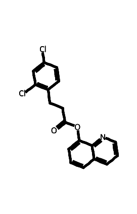 O=C(CCc1ccc(Cl)cc1Cl)Oc1cccc2cccnc12